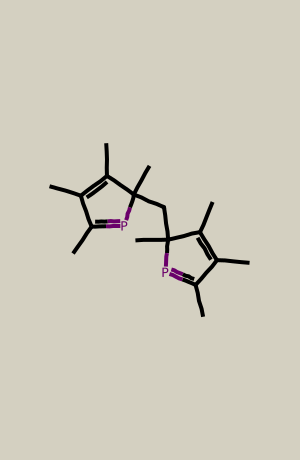 CC1=PC(C)(CC2(C)P=C(C)C(C)=C2C)C(C)=C1C